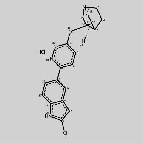 Cl.Clc1cc2cc(-c3ccc(O[C@H]4CN5CCC4CC5)nn3)ccc2[nH]1